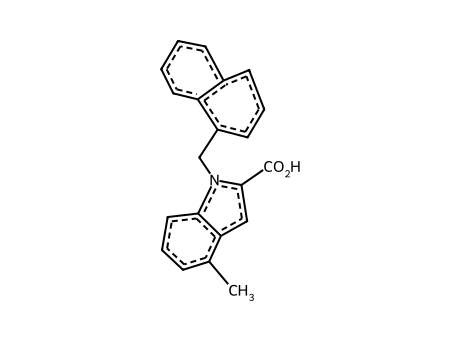 Cc1cccc2c1cc(C(=O)O)n2Cc1cccc2ccccc12